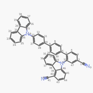 N#Cc1ccc(-c2ccc(-c3ccc(-n4c5ccccc5c5ccccc54)cc3)cc2)c(-n2c3ccccc3c3c(C#N)cccc32)c1